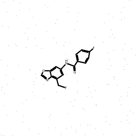 O=C(Nc1cc(CF)c2ncoc2c1)c1ccc(F)cc1